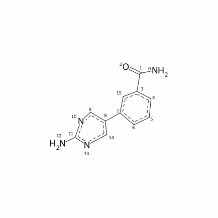 NC(=O)c1cccc(-c2cnc(N)nc2)c1